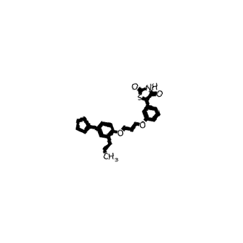 CCCc1cc(C2CCCC2)ccc1OCCCOc1cccc(C2SC(=O)NC2=O)c1